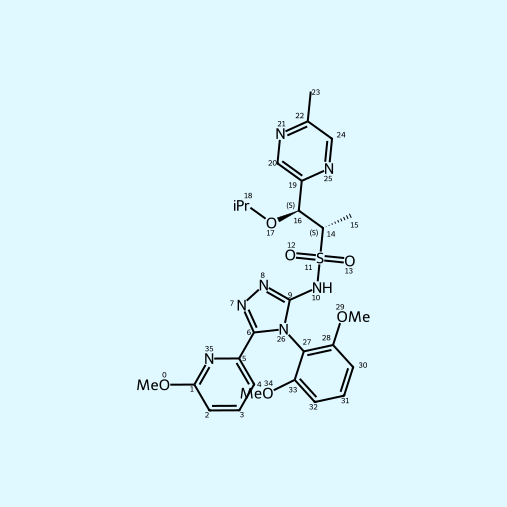 COc1cccc(-c2nnc(NS(=O)(=O)[C@@H](C)[C@@H](OC(C)C)c3cnc(C)cn3)n2-c2c(OC)cccc2OC)n1